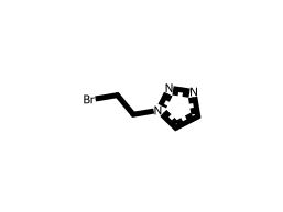 BrCCn1ccnn1